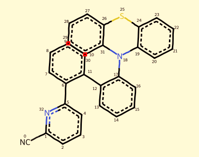 N#Cc1cccc(-c2ccccc2-c2ccccc2N2c3ccccc3Sc3ccccc32)n1